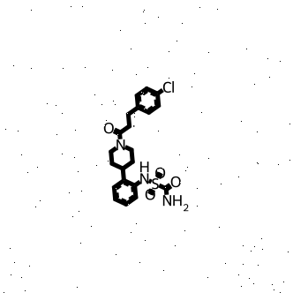 NC(=O)S(=O)(=O)Nc1ccccc1C1CCN(C(=O)[CH]Cc2ccc(Cl)cc2)CC1